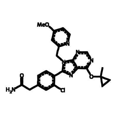 COc1ccnc(Cn2c(-c3ccc(CC(N)=O)cc3Cl)nc3c(OC4(C)CC4)ncnc32)c1